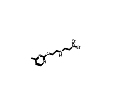 CCN(CC)CCNCCOc1nccc(C)n1